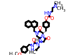 C#CCN(C(=O)NCc1ccc(OC)cc1)N1CC(=O)N2[C@@H](Cc3ccc(OC(=O)NCCN(C)C)cc3)C(=O)N(Cc3cccc4ccccc34)C[C@@H]21